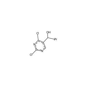 CC(C)C(O)c1cnc(Cl)nc1Cl